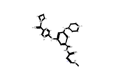 CN/C=C\C(=N)NC(=O)c1cc(Oc2cnc(C(=O)N3CCC3)cn2)cc(OC2CCOCC2)c1